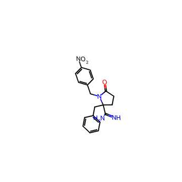 N=C(N)C1(Cc2ccccc2)CCC(=O)N1Cc1ccc([N+](=O)[O-])cc1